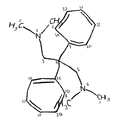 CN(C)CC(CN(C)C)(c1ccccc1)c1ccccc1